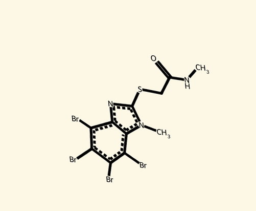 CNC(=O)CSc1nc2c(Br)c(Br)c(Br)c(Br)c2n1C